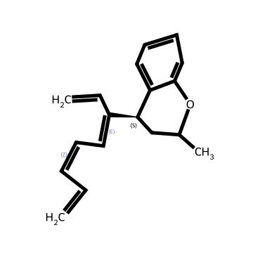 C=C/C=C\C=C(/C=C)[C@@H]1CC(C)Oc2ccccc21